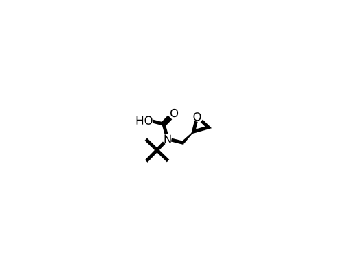 CC(C)(C)N(C[C@@H]1CO1)C(=O)O